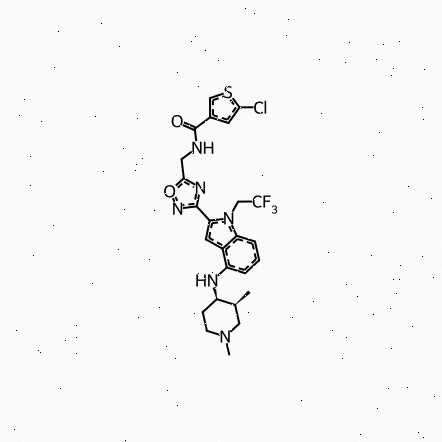 C[C@H]1CN(C)CC[C@H]1Nc1cccc2c1cc(-c1noc(CNC(=O)c3csc(Cl)c3)n1)n2CC(F)(F)F